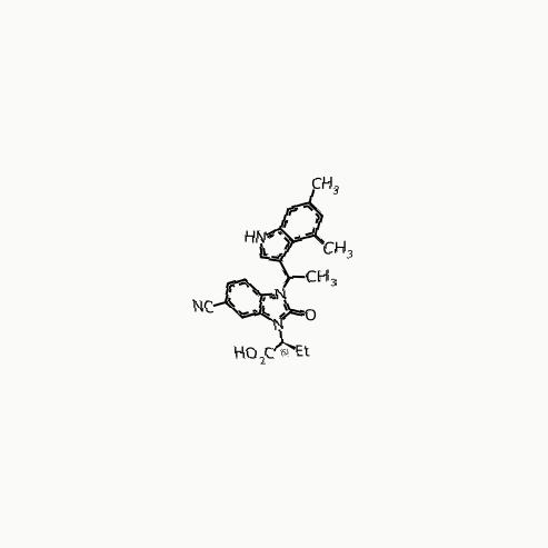 CC[C@@H](C(=O)O)n1c(=O)n(C(C)c2c[nH]c3cc(C)cc(C)c23)c2ccc(C#N)cc21